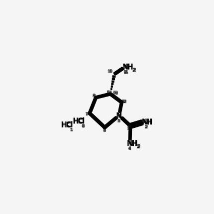 Cl.Cl.N=C(N)N1CCC[C@H](CN)C1